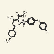 CC(SCC1CCN(C)CC1)C(C(=O)NO)N(C)S(=O)(=O)c1ccc(Oc2ccc(Cl)cc2)cc1